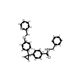 O=C(NCc1ccccc1)c1ccc(C2(c3ccc(OCc4ccccn4)cc3)CC2)cc1